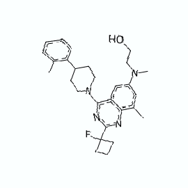 Cc1ccccc1C1CCN(c2nc(C3(F)CCC3)nc3c(C)cc(N(C)CCO)cc23)CC1